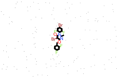 Cc1nc(OCc2ccc(F)cc2F)c(Br)c(=O)n1-c1c(F)cc(Br)cc1F